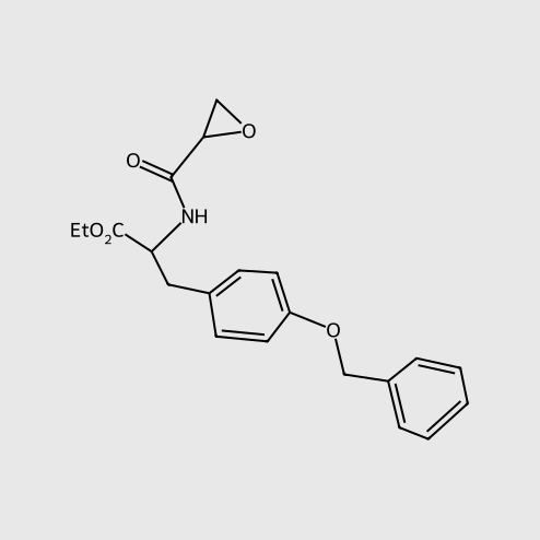 CCOC(=O)C(Cc1ccc(OCc2ccccc2)cc1)NC(=O)C1CO1